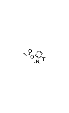 C=CC(=O)Oc1cccc(F)c1N(C)C